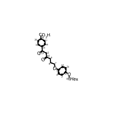 CCCCCCOc1ccc(OCCCC(=O)CC(=O)c2ccc(C(=O)O)cc2)cc1